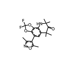 Cc1noc(C)c1-c1cc2c(c3c1OC(F)(F)O3)NC(C)(C)C(=O)C2(C)C